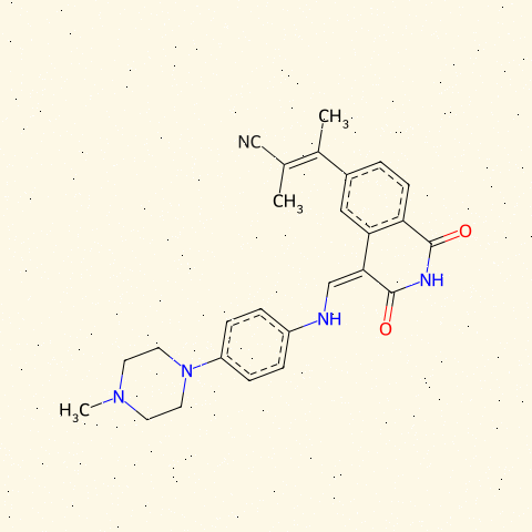 CC(C#N)=C(C)c1ccc2c(c1)C(=CNc1ccc(N3CCN(C)CC3)cc1)C(=O)NC2=O